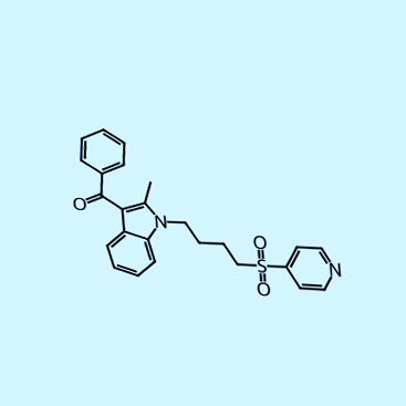 Cc1c(C(=O)c2ccccc2)c2ccccc2n1CCCCS(=O)(=O)c1ccncc1